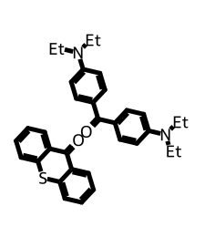 CCN(CC)c1ccc(C(=O)c2ccc(N(CC)CC)cc2)cc1.O=c1c2ccccc2sc2ccccc12